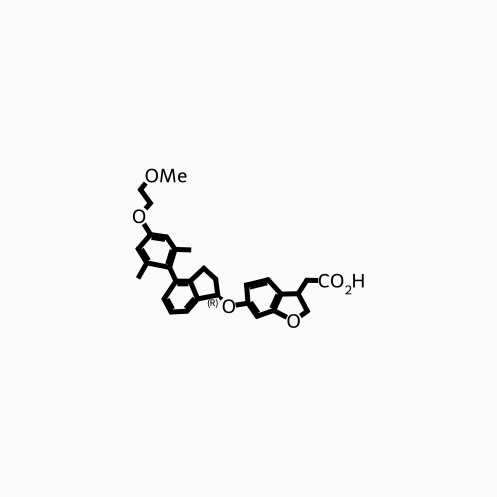 COCCOc1cc(C)c(-c2cccc3c2CC[C@H]3Oc2ccc3c(c2)OCC3CC(=O)O)c(C)c1